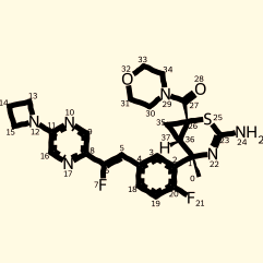 C[C@]1(c2cc(/C=C(\F)c3cnc(N4CCC4)cn3)ccc2F)N=C(N)S[C@@]2(C(=O)N3CCOCC3)C[C@H]21